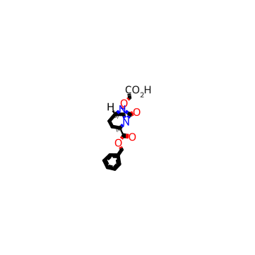 O=C(O)CON1C(=O)N2C[C@@H]1CC[C@@H]2C(=O)OCc1ccccc1